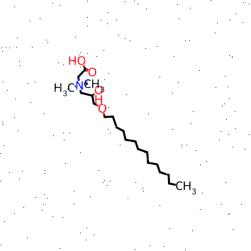 CCCCCCCCCCCCCCOCC(O)C[N+](C)(C)CC(=O)O